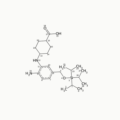 CC(C)[Si](OCc1ccc(N)c(NC2CCC(C(=O)O)CC2)c1)(C(C)C)C(C)C